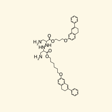 NCC(NNC(CN)C(=O)OCCCOc1ccc2c(c1)C=C(c1ccccc1)CC2)C(=O)OCCCCCCOc1ccc2c(c1)C=C(c1ccccc1)CC2